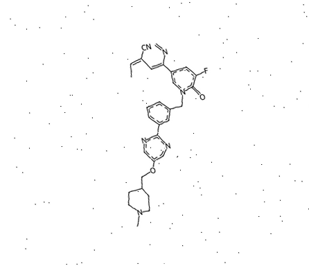 C=N/C(=C\C(C#N)=C/C)c1cc(F)c(=O)n(Cc2cccc(-c3ncc(OCC4CCN(C)CC4)cn3)c2)c1